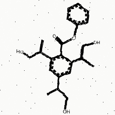 CC(CO)c1cc(C(C)CO)c(C(=O)Oc2ccccc2)c(C(C)CO)c1